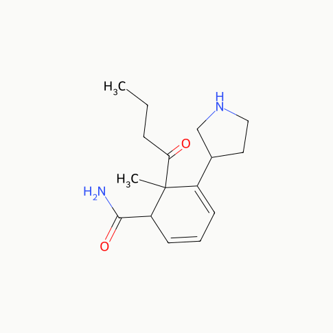 CCCC(=O)C1(C)C(C2CCNC2)=CC=CC1C(N)=O